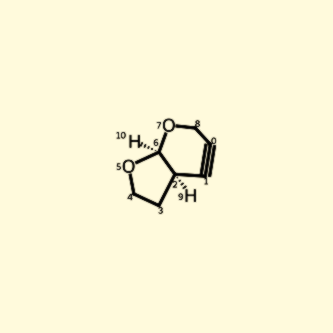 C1#C[C@H]2CCO[C@H]2OC1